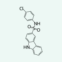 O=S(=O)(Nc1ccc(Cl)cc1)c1ccc2[nH]c3ccccc3c2c1